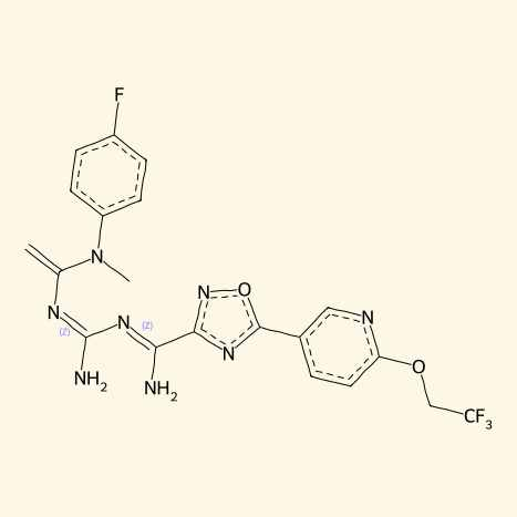 C=C(/N=C(N)\N=C(/N)c1noc(-c2ccc(OCC(F)(F)F)nc2)n1)N(C)c1ccc(F)cc1